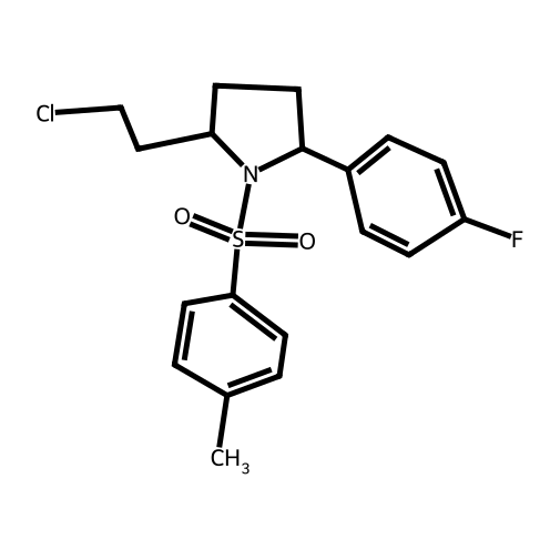 Cc1ccc(S(=O)(=O)N2C(CCCl)CCC2c2ccc(F)cc2)cc1